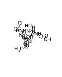 CCc1nnn([C@H]2C[C@@H](n3cnc4c(NCC(c5ccccc5)c5ccccc5)nc(N5CCC(NC(=O)NCc6ccc(C(=O)O)cc6)C5)nc43)[C@H](O)[C@@H]2O)n1.Cl